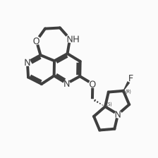 F[C@H]1CN2CCC[C@@]2(COc2cc3c4c(nccc4n2)OCCN3)C1